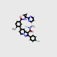 Cc1ccc(C(=O)NC2(c3ncccn3)CC2)cc1-c1ccn2nc(-c3ccc(F)cc3)c(C(=O)N(C)F)c2c1